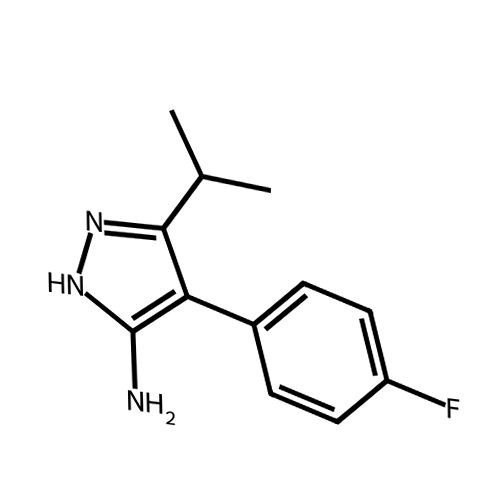 CC(C)c1n[nH]c(N)c1-c1ccc(F)cc1